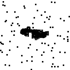 C[C@H](CN(C)Cc1ccc(Cl)cc1)Nc1ncc(/C=C/C(=O)NOC2CCCCO2)cc1Cl